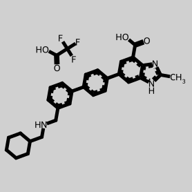 Cc1nc2c(C(=O)O)cc(-c3ccc(-c4cccc(CNCC5CCCCC5)c4)cc3)cc2[nH]1.O=C(O)C(F)(F)F